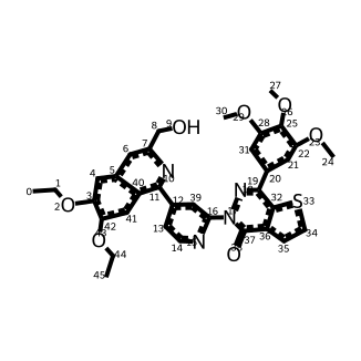 CCOc1cc2cc(CO)nc(-c3ccnc(-n4nc(-c5cc(OC)c(OC)c(OC)c5)c5sccc5c4=O)c3)c2cc1OCC